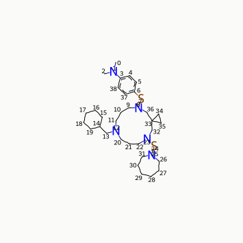 CN(C)c1ccc(SN2CCCN(CC3CCCCC3)CCCN(SN3CCCCCC3)CC3(CC3)C2)cc1